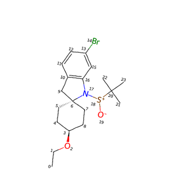 CCO[C@H]1CC[C@]2(CC1)Cc1ccc(Br)cc1N2[S+]([O-])C(C)(C)C